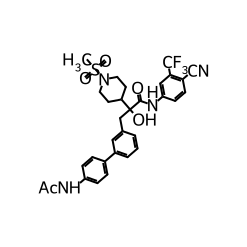 CC(=O)Nc1ccc(-c2cccc(CC(O)(C(=O)Nc3ccc(C#N)c(C(F)(F)F)c3)C3CCN(S(C)(=O)=O)CC3)c2)cc1